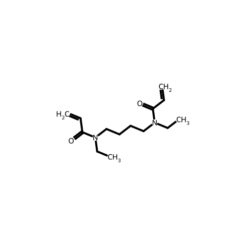 C=CC(=O)N(CC)CCCCN(CC)C(=O)C=C